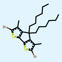 CCCCCCC1(CCCCCC)c2c(sc(Br)c2C)-c2sc(Br)c(C)c21